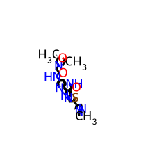 C[C@@H]1CN(CC(=O)Nc2cnc3c(c2)[nH]c(=O)c2c3nn3cc(-c4cnn(C)c4)sc23)C[C@H](C)O1